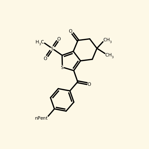 CCCCCc1ccc(C(=O)c2sc(S(C)(=O)=O)c3c2CC(C)(C)CC3=O)cc1